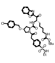 CCNS(=O)(=O)c1ccc(CC(=O)N2C[C@H](OCc3ccc(Cl)cc3)C[C@H]2C(=O)N[C@@H](CCCCNC(=O)OC(C)(C)C)C(=O)c2nc3ccccc3o2)cc1